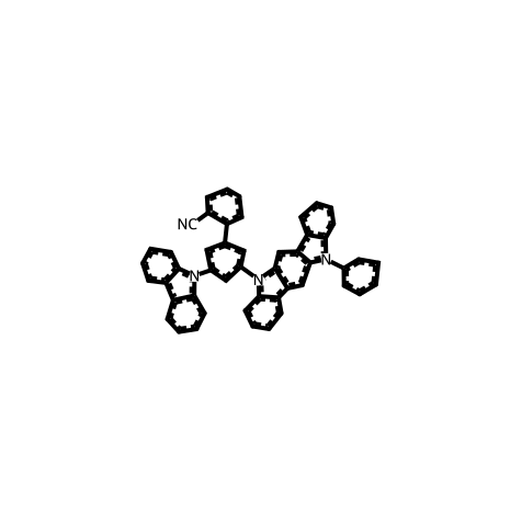 N#Cc1ccccc1-c1cc(-n2c3ccccc3c3ccccc32)cc(-n2c3ccccc3c3cc4c(cc32)c2ccccc2n4-c2ccccc2)c1